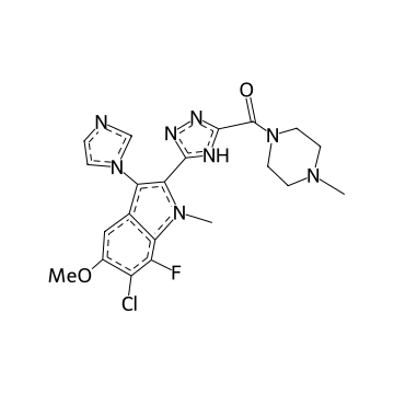 COc1cc2c(-n3ccnc3)c(-c3nnc(C(=O)N4CCN(C)CC4)[nH]3)n(C)c2c(F)c1Cl